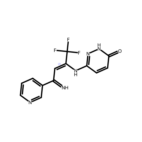 N=C(/C=C(\Nc1ccc(=O)[nH]n1)C(F)(F)F)c1cccnc1